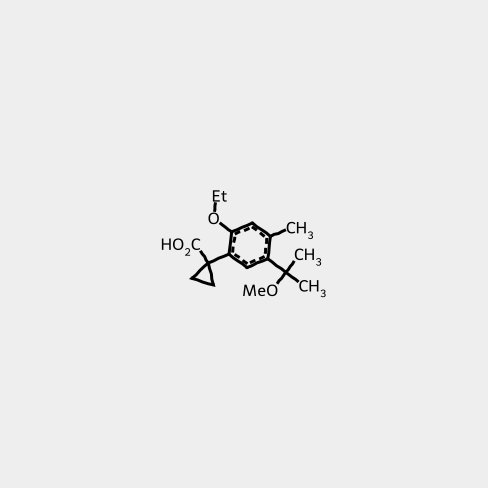 CCOc1cc(C)c(C(C)(C)OC)cc1C1(C(=O)O)CC1